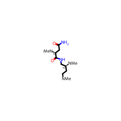 CNCC[C@@H](CNC(=O)[C@H](CC(N)=O)NC)NC